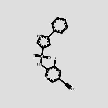 C#Cc1cnc(NS(=O)(=O)c2c[nH]c(-c3ccccc3)c2)c(F)c1